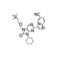 C[Si](C)(C)CCOCn1c(=O)n(C2CCCCC2)c2nc(-c3cnc4ccc(C#N)cn34)ncc21